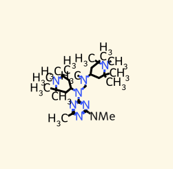 CNc1nc(C)nc(N(CN(C)C2CC(C)(C)N(C)C(C)(C)C2)C2CC(C)(C)N(C)C(C)(C)C2)n1